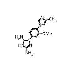 COc1cc(N2N=C(N)NC2N)ccc1-n1cnc(C)c1